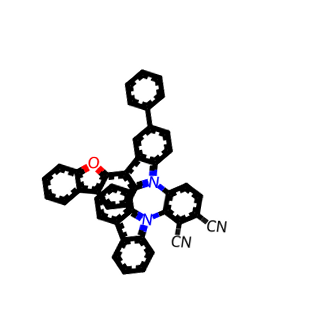 N#Cc1ccc(-n2c3ccc(-c4ccccc4)cc3c3c4oc5ccccc5c4ccc32)c(-n2c3ccccc3c3ccccc32)c1C#N